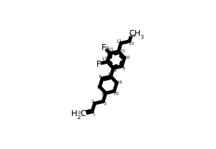 C=CCCC1CC=C(c2ccc(CCC)c(F)c2F)CC1